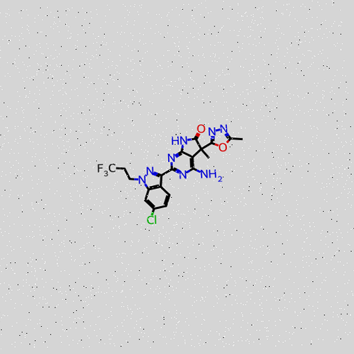 Cc1nnc(C2(C)C(=O)Nc3nc(-c4nn(CCC(F)(F)F)c5cc(Cl)ccc45)nc(N)c32)o1